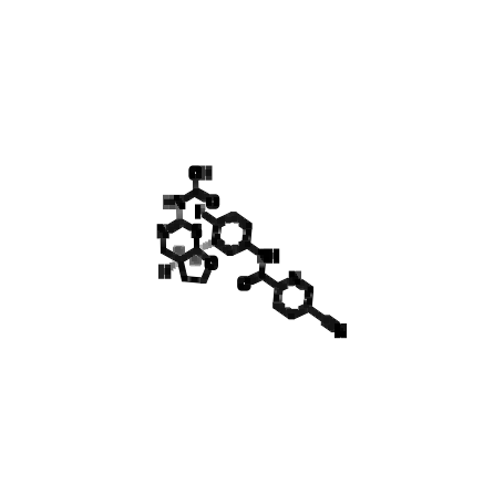 N#Cc1ccc(C(=O)Nc2ccc(F)c([C@]34OCC[C@H]3CN=C(NC(=O)O)S4)c2)nc1